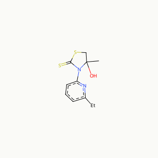 CCc1cccc(N2C(=S)SCC2(C)O)n1